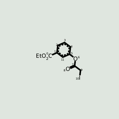 CCOC(=O)c1cccc(OC(=O)CI)c1